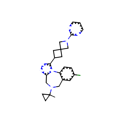 FC(F)(F)C1(N2Cc3cc(Cl)ccc3-n3c(nnc3C3CC4(C3)CN(c3ncccn3)C4)C2)CC1